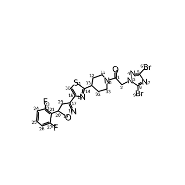 O=C(Cn1nc(Br)nc1Br)N1CCC(c2nc(C3=NOC(c4c(F)cccc4F)C3)cs2)CC1